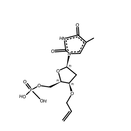 C=CCO[C@@H]1C[C@H](n2cc(C)c(=O)[nH]c2=O)O[C@@H]1COP(=O)(O)O